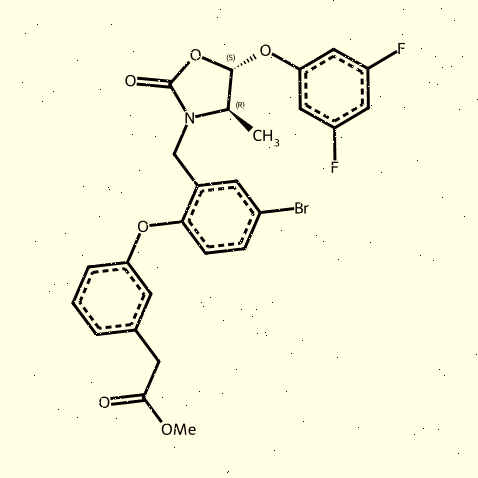 COC(=O)Cc1cccc(Oc2ccc(Br)cc2CN2C(=O)O[C@H](Oc3cc(F)cc(F)c3)[C@H]2C)c1